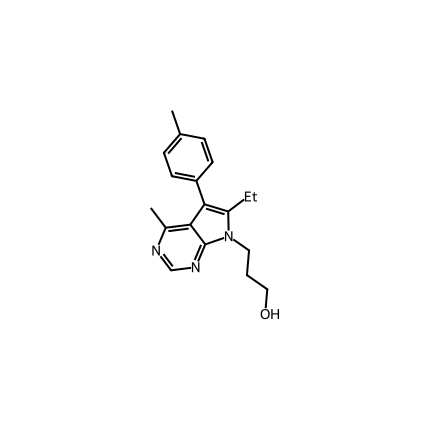 CCc1c(-c2ccc(C)cc2)c2c(C)ncnc2n1CCCO